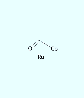 O=[CH][Co].[Ru]